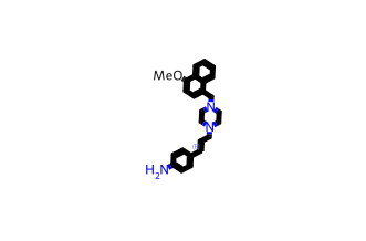 COc1ccc(CN2CCN(C/C=C/c3ccc(N)cc3)CC2)c2ccccc12